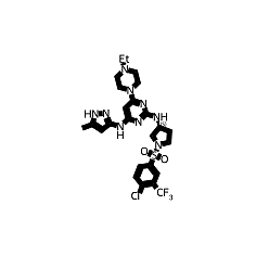 CCN1CCN(c2cc(Nc3cc(C)[nH]n3)nc(N[C@H]3CCN(S(=O)(=O)c4ccc(Cl)c(C(F)(F)F)c4)C3)n2)CC1